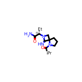 CC[C@@H](C(N)=O)N1CC2(CCCN2C(=O)C(C)C)C1=N